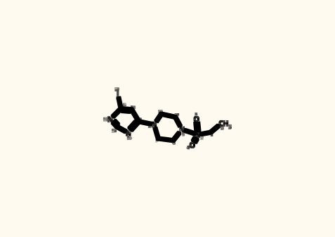 CCS(=O)(=O)N1CCN(c2cc(I)ncn2)CC1